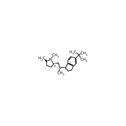 C=C1CC[C@H](CN(C)C2CCc3cc(C(C)(C)C)ccc32)N1C